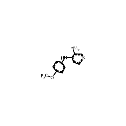 Nc1cnccc1Nc1ccc(OC(F)(F)F)cc1